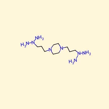 NN(N)CCCN1CCN(CCCN(N)N)CC1